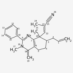 C=CCC1CCC2=C(N=C(c3ccccc3)N(C)C2=C)C1(C)/C=C(\C)C#N